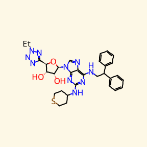 CCn1nnc([C@H]2O[C@@H](n3cnc4c(NCC(c5ccccc5)c5ccccc5)nc(NC5CCSCC5)nc43)[C@H](O)[C@@H]2O)n1